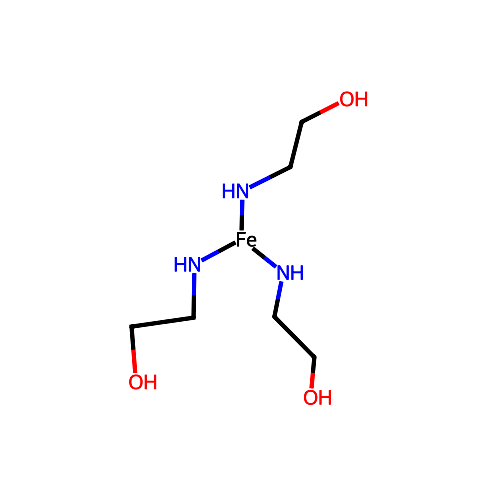 OCC[NH][Fe]([NH]CCO)[NH]CCO